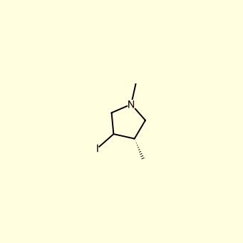 C[C@H]1CN(C)CC1I